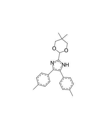 Cc1ccc(-c2nc(C3OCC(C)(C)CO3)[nH]c2-c2ccc(C)cc2)cc1